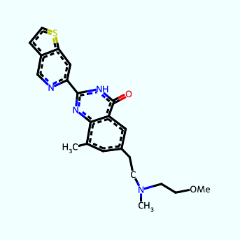 COCCN(C)CCc1cc(C)c2nc(-c3cc4sccc4cn3)[nH]c(=O)c2c1